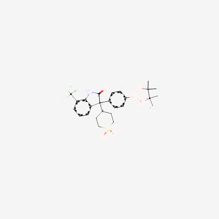 CC1(C)OB(c2ccc(C3(C4CCS(=O)(=O)CC4)C(=O)Nc4c(C(F)(F)F)cccc43)cc2)OC1(C)C